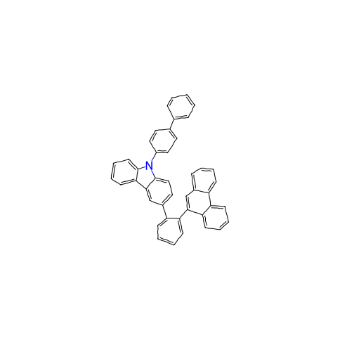 c1ccc(-c2ccc(-n3c4ccccc4c4cc(-c5ccccc5-c5cc6ccccc6c6ccccc56)ccc43)cc2)cc1